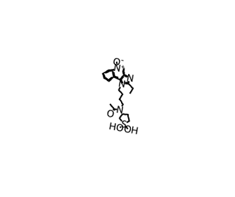 CCc1nc2c[n+]([O-])c3ccccc3c2n1CCCCN(C(C)=O)C1CCS(O)(O)C1